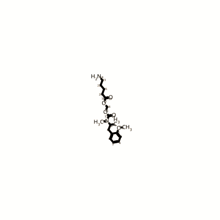 COc1ccccc1CC(C)N(C)C(=O)OCOC(=O)CCCCN